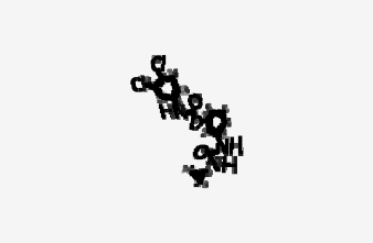 O=C(Nc1cccc(OC(=O)Nc2ccc(Cl)c(Cl)c2)c1)NC1CC1